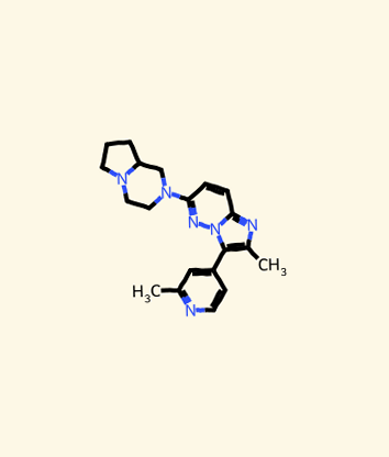 Cc1cc(-c2c(C)nc3ccc(N4CCN5CCCC5C4)nn23)ccn1